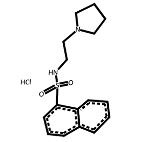 Cl.O=S(=O)(NCCN1CCCC1)c1cccc2ccccc12